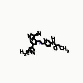 C=CC(=O)Nc1ccc(/C=C/c2cc(-c3cnn(C)c3)cn3ncc(C#N)c23)nc1